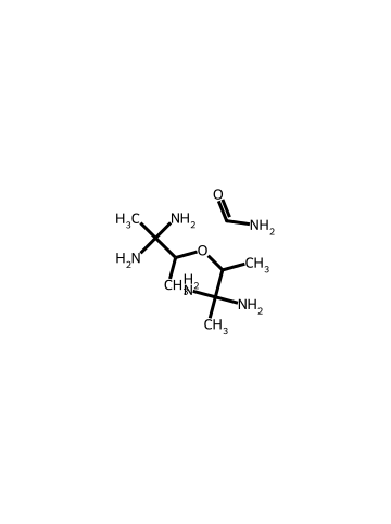 CC(OC(C)C(C)(N)N)C(C)(N)N.NC=O